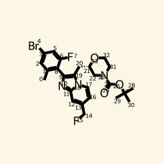 Cc1cc(Br)cc(F)c1-c1nc2cc(CF)ccn2c1C[C@H]1CN(C(=O)OC(C)(C)C)CCO1